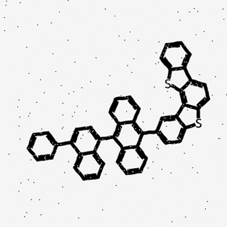 c1ccc(-c2ccc(-c3c4ccccc4c(-c4ccc5sc6ccc7c8ccccc8sc7c6c5c4)c4ccccc34)c3ccccc23)cc1